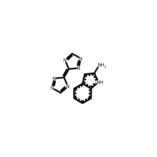 C1=NC(=C2N=CN=N2)N=N1.Nc1cc2ccccc2[nH]1